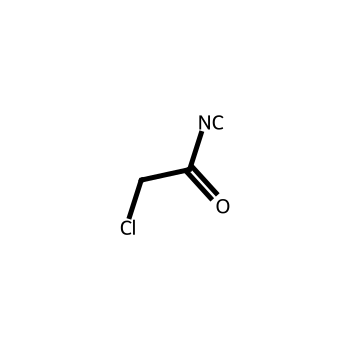 [C-]#[N+]C(=O)CCl